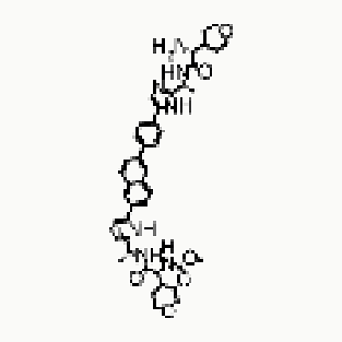 COC(=O)N[C@H](C(=O)N[C@@H](C)c1ncc(-c2ccc3cc(-c4ccc(-c5cnc([C@H](C)NC(=O)[C@@H](N)C6CCOCC6)[nH]5)cc4)ccc3c2)[nH]1)C1CCOCC1